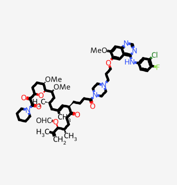 C=C(C)[C@@H](OC=O)[C@H](C)CCC(=O)[C@@H](/C=C(\C)C[C@H](C)C[C@H](OC)[C@H]1OC(C(=O)C(=O)N2CCCCC2)CC[C@@H]1OC)CCCC(=O)N1CCN(CCCOc2cc3c(Nc4ccc(F)c(Cl)c4)ncnc3cc2OC)CC1